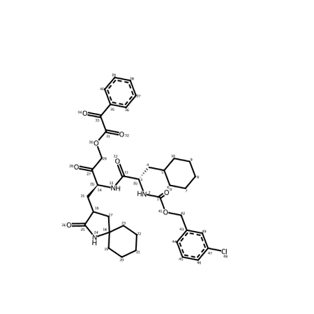 O=C(N[C@@H](CC1CCCCC1)C(=O)N[C@@H](CC1CC2(CCCCC2)NC1=O)C(=O)COC(=O)C(=O)c1ccccc1)OCc1cccc(Cl)c1